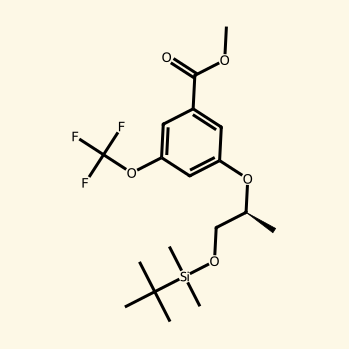 COC(=O)c1cc(O[C@@H](C)CO[Si](C)(C)C(C)(C)C)cc(OC(F)(F)F)c1